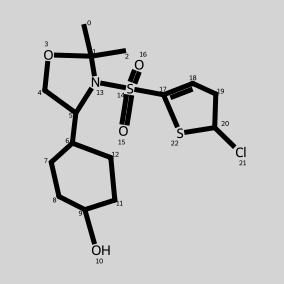 CC1(C)OCC(C2CCC(O)CC2)N1S(=O)(=O)C1=CCC(Cl)S1